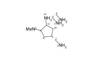 CN.CN.CN.CNC1CCCC1N